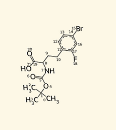 CC(C)(C)OC(=O)NC(CCc1ccc(Br)cc1F)C(=O)O